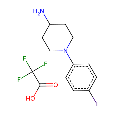 NC1CCN(c2ccc(I)cc2)CC1.O=C(O)C(F)(F)F